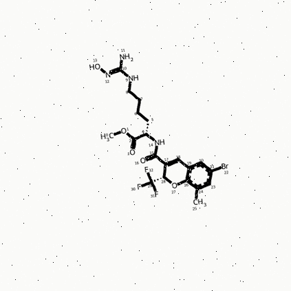 COC(=O)[C@H](CCCCNC(N)=NO)NC(=O)C1=Cc2cc(Br)cc(C)c2O[C@@H]1C(F)(F)F